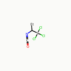 CCC(N=C=O)[Si](Cl)(Cl)Cl